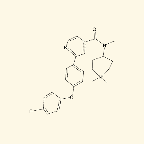 CN(C(=O)c1ccnc(-c2ccc(Oc3ccc(F)cc3)cc2)c1)C1CC[N+](C)(C)CC1